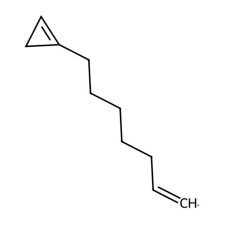 [CH]=CCCCCCC1=CC1